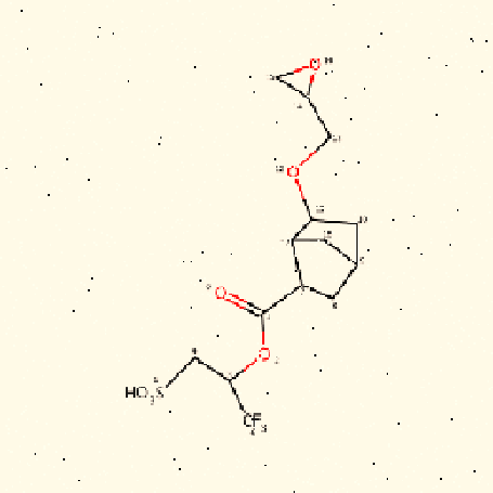 O=C(OC(CS(=O)(=O)O)C(F)(F)F)C1CC2CC(OCC3CO3)C1C2